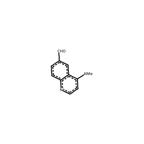 CNc1ccnc2ccc(C=O)cc12